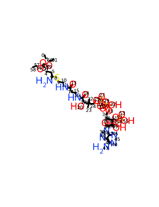 CCO[Si](CCC(N)SCCNC(=O)CCNC(=O)C(O)C(C)(C)COP(=O)(O)OP(=O)(O)OC[C@H]1O[C@@H](n2cnc3c(N)ncnc32)[C@H](O)[C@@H]1OP(=O)(O)O)(OCC)OCC